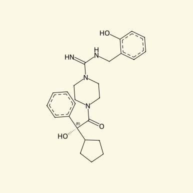 N=C(NCc1ccccc1O)N1CCN(C(=O)[C@](O)(c2ccccc2)C2CCCC2)CC1